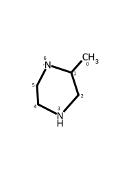 CC1CNCC[N]1